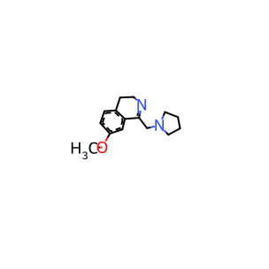 COc1ccc2c(c1)C(CN1CCCC1)=NCC2